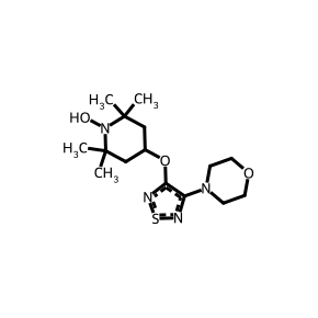 CC1(C)CC(Oc2nsnc2N2CCOCC2)CC(C)(C)N1O